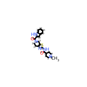 CN1CCC(C(=O)Nc2nc3c(s2)CN(C(=O)c2cc4ccccc4[nH]2)CC3)CC1